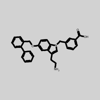 NCCc1cn(Cc2cccc(C(=O)O)c2)c2ccc(OCc3ccccc3-c3ccccc3)cc12